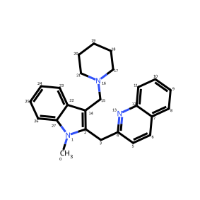 Cn1c(Cc2ccc3ccccc3n2)c(CN2CCCCC2)c2ccccc21